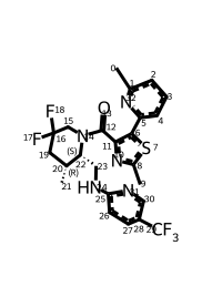 Cc1cccc(-c2sc(C)nc2C(=O)N2CC(F)(F)C[C@@H](C)[C@H]2CNc2ccc(C(F)(F)F)cn2)n1